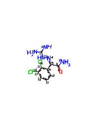 N=C(N)N/N=C(/C(N)=O)c1cccc(Cl)c1Cl